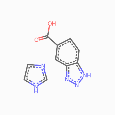 O=C(O)c1ccc2[nH]nnc2c1.c1c[nH]cn1